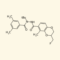 Cc1cc(C)cc(C(=O)N(NC(=O)c2ccc3c(c2C)OC(CF)CO3)C(C)(C)C)c1